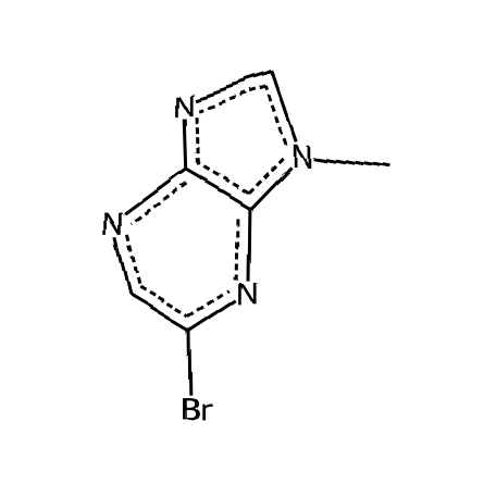 Cn1cnc2ncc(Br)nc21